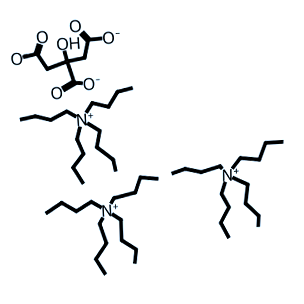 CCCC[N+](CCCC)(CCCC)CCCC.CCCC[N+](CCCC)(CCCC)CCCC.CCCC[N+](CCCC)(CCCC)CCCC.O=C([O-])CC(O)(CC(=O)[O-])C(=O)[O-]